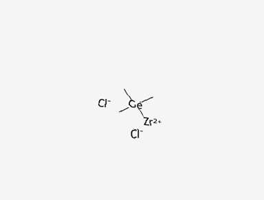 [CH3][Ge]([CH3])([CH3])[Zr+2].[Cl-].[Cl-]